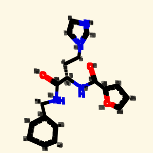 O=C(N[C@@H](CCn1ccnc1)C(=O)NCc1ccccc1)c1ccco1